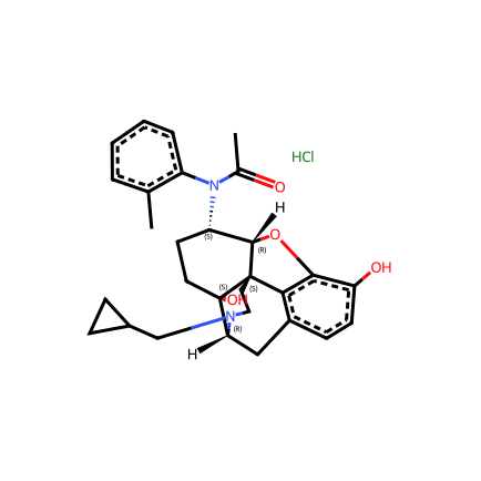 CC(=O)N(c1ccccc1C)[C@H]1CC[C@@]2(O)[C@H]3Cc4ccc(O)c5c4[C@@]2(CCN3CC2CC2)[C@H]1O5.Cl